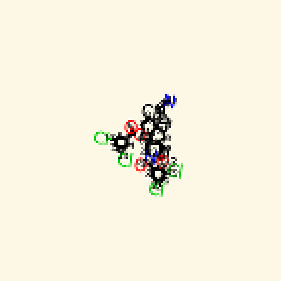 CC1=C[C@@H](OC(=O)c2cc(Cl)cc(Cl)c2)[C@H]2[C@@H](CCC3=CC(=O)N(C(=O)c4cc(Cl)cc(Cl)c4)CC[C@@]32C)[C@@H]1CCC#N